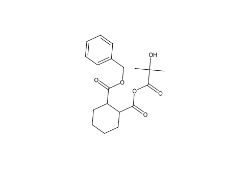 CC(C)(O)C(=O)OC(=O)C1CCCCC1C(=O)OCc1ccccc1